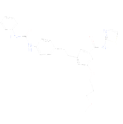 COCCCOc1cc(CCc2ccc(NC(=O)Nc3ccccc3)cc2)cc(C(=O)Nc2nccs2)c1